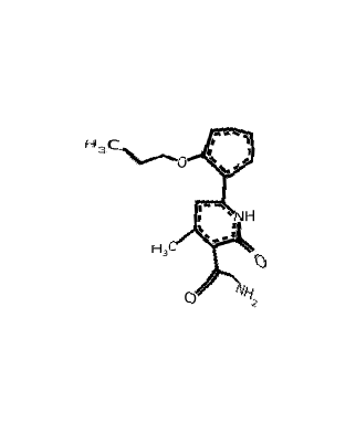 CCCOc1ccccc1-c1cc(C)c(C(N)=O)c(=O)[nH]1